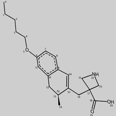 CCCCCOc1ccc2c(c1)C[C@H](C)C(CC1(C(=O)O)CNC1)=C2